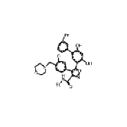 CCNC(=O)c1noc(-c2cc(-c3cccc(C(C)C)c3)c(O)cc2O)c1-c1ccc(CN2CCOCC2)c(Cl)c1